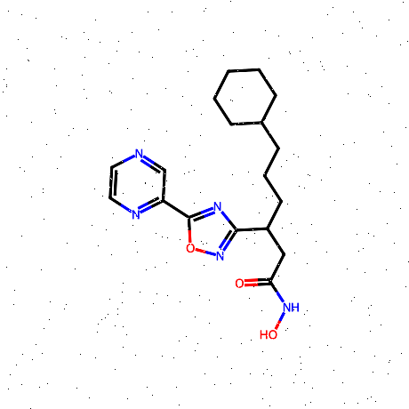 O=C(CC(CCCC1CCCCC1)c1noc(-c2cnccn2)n1)NO